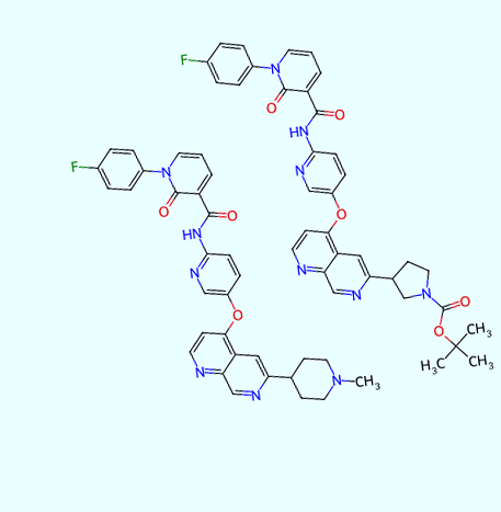 CC(C)(C)OC(=O)N1CCC(c2cc3c(Oc4ccc(NC(=O)c5cccn(-c6ccc(F)cc6)c5=O)nc4)ccnc3cn2)C1.CN1CCC(c2cc3c(Oc4ccc(NC(=O)c5cccn(-c6ccc(F)cc6)c5=O)nc4)ccnc3cn2)CC1